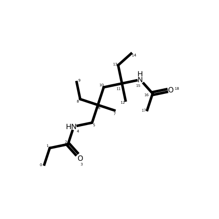 CCC(=O)NCC(C)(CC)CC(C)(CC)NC(C)=O